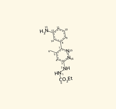 CCOC(=O)NNc1cc(C)c(-c2cccc(N)c2)nn1